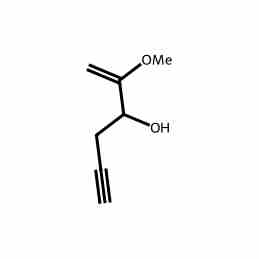 C#CCC(O)C(=C)OC